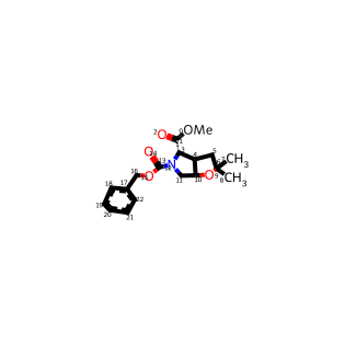 COC(=O)[C@@H]1C2CC(C)(C)OC2CN1C(=O)OCc1ccccc1